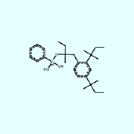 CCC(C)(Cc1ccc(C(C)(C)CC)cc1C(C)(C)CC)O[PH](O)(O)c1ccccc1